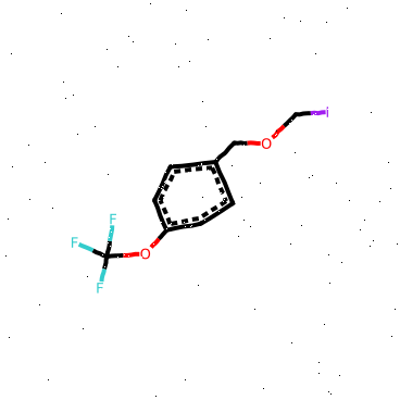 FC(F)(F)Oc1ccc(COCI)cc1